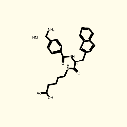 CC(=O)C(O)CCCCNC(=O)[C@H](Cc1ccc2ccccc2c1)NC(=O)c1ccc(CN)cc1.Cl